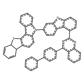 C1=CC2Sc3c(ccc4c3c3ccccc3n4-c3ccc4c(c3)oc3cccc(-c5nc(-c6ccc(-c7ccccc7)cc6)c6ccccc6n5)c34)C2C=C1